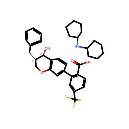 C1CCC(NC2CCCCC2)CC1.O=C(O)c1ccc(C(F)(F)F)cc1-c1ccc2c(c1)OC[C@H](Cc1ccccc1)[C@H]2O